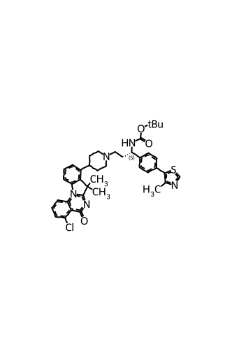 Cc1ncsc1-c1ccc([C@H](CCN2CCC(c3cccc4c3C(C)(C)c3nc(=O)c5c(Cl)cccc5n3-4)CC2)NC(=O)OC(C)(C)C)cc1